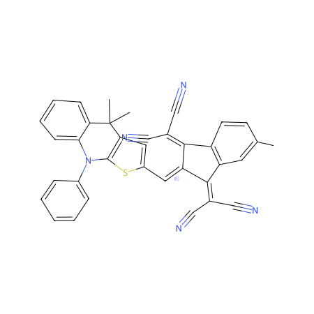 Cc1ccc2c(c1)C(=C(C#N)C#N)/C(=C/c1cc3c(s1)N(c1ccccc1)c1ccccc1C3(C)C)C2=C(C#N)C#N